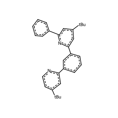 CC(C)(C)c1ccnc(-c2cccc(-c3cc(C(C)(C)C)cc(-c4ccccc4)n3)c2)c1